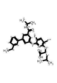 CC(C)C[C@@H](Oc1nc(Oc2cc(C(=O)NC(C)C)cc(-c3cccc(CN)c3)c2)c(F)cc1F)C(=O)O